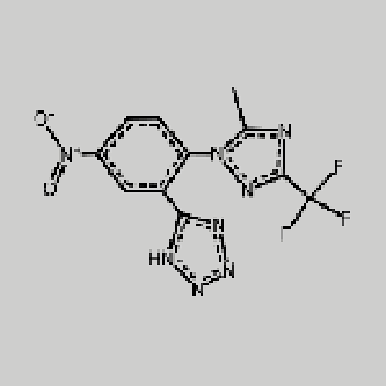 Cc1nc(C(F)(F)F)nn1-c1ccc([N+](=O)[O-])cc1-c1nnn[nH]1